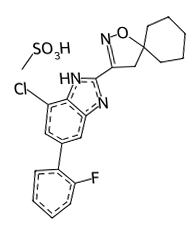 CS(=O)(=O)O.Fc1ccccc1-c1cc(Cl)c2[nH]c(C3=NOC4(CCCCC4)C3)nc2c1